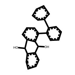 OC1c2ccccc2C(O)c2c(-c3ccccc3-c3ccccc3)cccc21